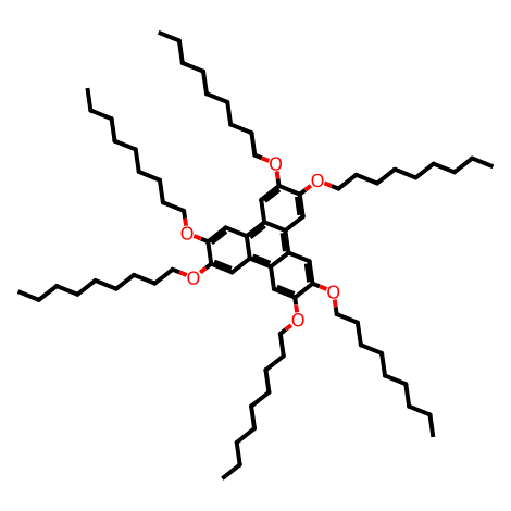 CCCCCCCCCOc1cc2c3cc(OCCCCCCCCC)c(OCCCCCCCCC)cc3c3cc(OCCCCCCCCC)c(OCCCCCCCCC)cc3c2cc1OCCCCCCCCC